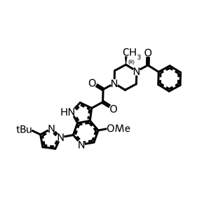 COc1cnc(-n2ccc(C(C)(C)C)n2)c2[nH]cc(C(=O)C(=O)N3CCN(C(=O)c4ccccc4)[C@H](C)C3)c12